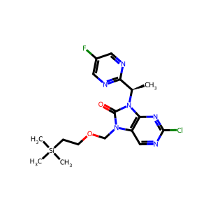 C[C@H](c1ncc(F)cn1)n1c(=O)n(COCC[Si](C)(C)C)c2cnc(Cl)nc21